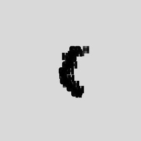 Cc1c(NC(=O)c2nc(NC(=O)CCNC(=O)c3cc(NC(=O)c4nc(NC(=O)CCNC(=O)c5cccn5C)cn4C)cn3C)cn2C)c[nH]c1C(=O)O